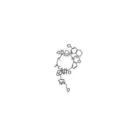 COCCn1cc(C(=O)N[S@@]2(=O)=NC(=O)c3ccc4c(c3)N(C[C@@H]3CC[C@H]3[C@@H](OC)/C=C/C[C@H](C)C2)C[C@@]2(CCCc3cc(Cl)ccc32)CO4)cn1